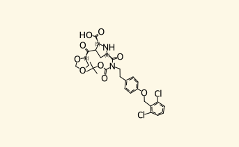 CC(C)(C)OC(=O)N(CCc1ccc(OCc2c(Cl)cccc2Cl)cc1)C(=O)[C@H]1CC(C(=O)[C@H]2COCO2)[C@@H](C(=O)O)N1